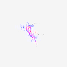 COc1ccc2c(CC(=O)[C@](CCCNC(=N)N)(NC(=O)[C@@H](N)CCCCOCc3ccccc3)C(=O)N3CCC[C@H]3C(=O)N[C@@H](CC(C)C)C(=O)NCC(=O)N[C@@H](CNc3ccc([N+](=O)[O-])cc3[N+](=O)[O-])C(=O)N[C@@H](C)C(=O)N[C@H](CCCNC(=N)N)C(=O)N[C@H](CCC(=O)O)C(=O)N[C@H](CCCNC(=N)N)C(N)=O)cc(=O)oc2c1